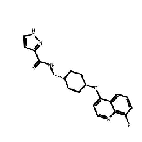 O=C(NC[C@H]1CC[C@H](Oc2ccnc3c(F)cccc23)CC1)c1cc[nH]n1